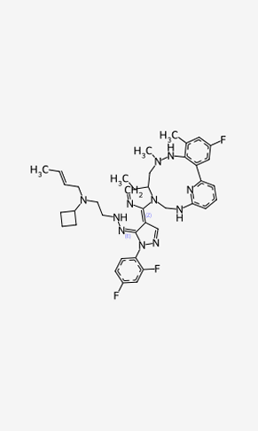 C=N/C(=C1/C=NN(c2ccc(F)cc2F)/C1=N/NCCN(CC=CC)C1CCC1)N1CNc2cccc(n2)-c2cc(F)cc(C)c2NN(C)CC1CC